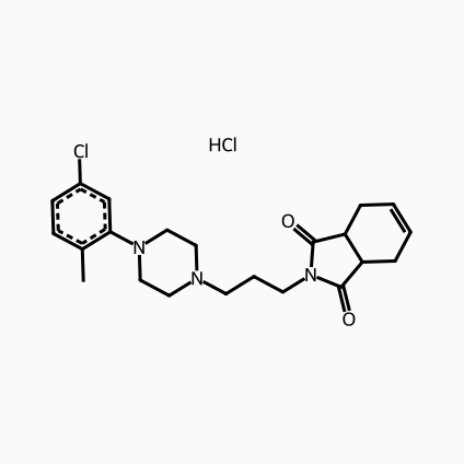 Cc1ccc(Cl)cc1N1CCN(CCCN2C(=O)C3CC=CCC3C2=O)CC1.Cl